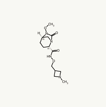 CON1C(=O)N2C[C@H]1CC[C@H]2C(=O)NOCC1CN(C)C1